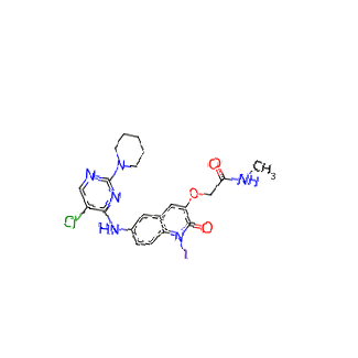 CNC(=O)COc1cc2cc(Nc3nc(N4CCCCC4)ncc3Cl)ccc2n(I)c1=O